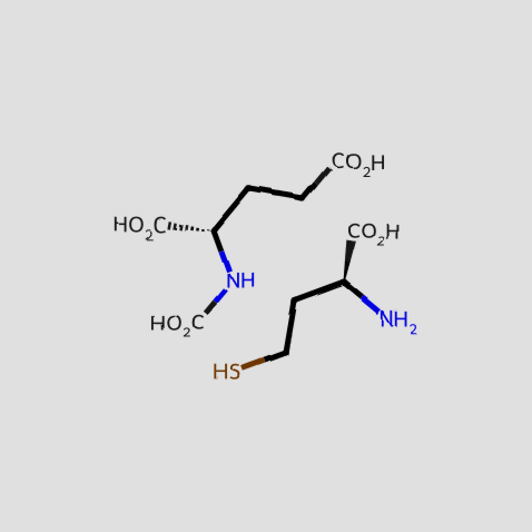 N[C@@H](CCS)C(=O)O.O=C(O)CC[C@H](NC(=O)O)C(=O)O